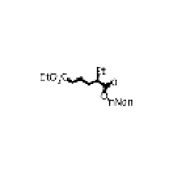 CCCCCCCCCOC(=O)C(CC)CCCC(=O)OCC